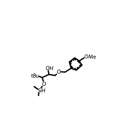 COc1ccc(COCC(O)C(O[SiH](C)C)C(C)(C)C)cc1